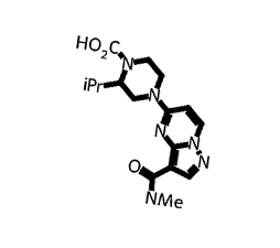 CNC(=O)c1cnn2ccc(N3CCN(C(=O)O)C(C(C)C)C3)nc12